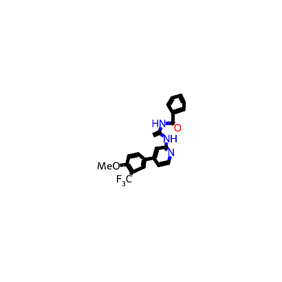 C=C(NC(=O)c1ccccc1)Nc1cc(-c2ccc(OC)c(C(F)(F)F)c2)ccn1